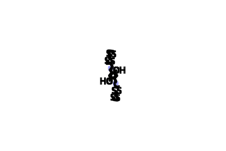 Oc1cc(/C=C/C2=CSC(=C3SC=CS3)S2)c(O)cc1/C=C/C1=CSC(=C2SC=CS2)S1